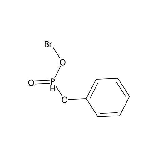 O=[PH](OBr)Oc1ccccc1